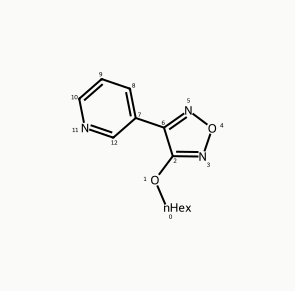 CCCCCCOc1nonc1-c1cccnc1